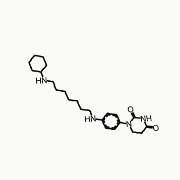 O=C1CCN(c2ccc(NCCCCCCCNC3CCCCC3)cc2)C(=O)N1